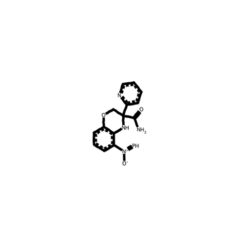 NC(=O)C1(c2ccccn2)COc2cccc([N+]([O-])=P)c2N1